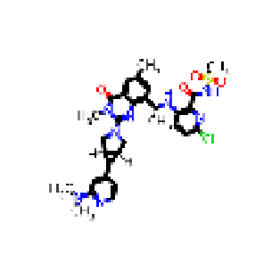 Cc1cc([C@@H](C)Nc2ccc(Cl)nc2C(=O)NS(C)(=O)=O)c2nc(N3C[C@@H]4C(c5ccnc(N(C)C)c5)[C@@H]4C3)n(C)c(=O)c2c1